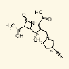 C[C@@H](O)C1C(=O)N2C(C(=O)O)=C(CN3CC[C@H](C#N)C3)[C@H](C)C12